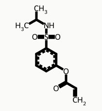 C=CC(=O)Oc1cccc(S(=O)(=O)NC(C)C)c1